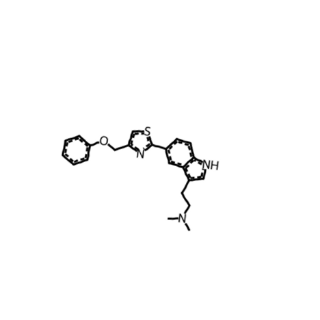 CN(C)CCc1c[nH]c2ccc(-c3nc(COc4ccccc4)cs3)cc12